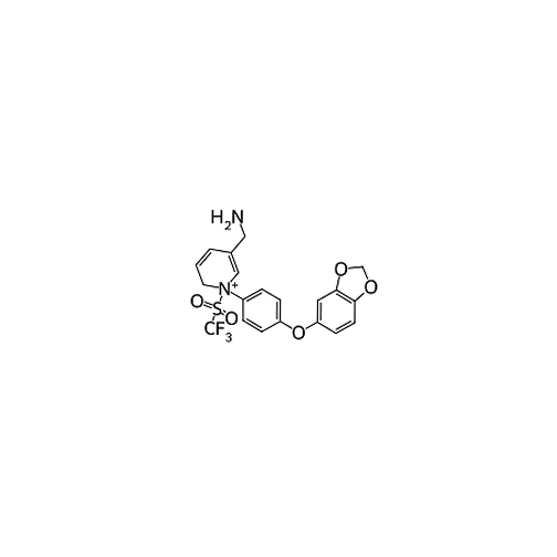 NCC1=C[N+](c2ccc(Oc3ccc4c(c3)OCO4)cc2)(S(=O)(=O)C(F)(F)F)CC=C1